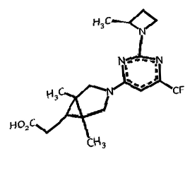 C[C@H]1CCN1c1nc(N2CC3(C)C(CC(=O)O)C3(C)C2)cc(C(F)(F)F)n1